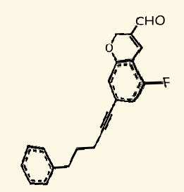 O=CC1=Cc2c(F)cc(C#CCCCc3ccccc3)cc2OC1